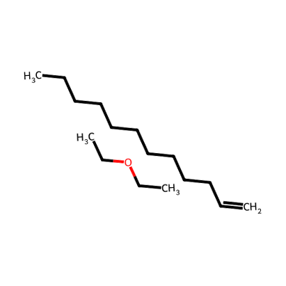 C=CCCCCCCCCCC.CCOCC